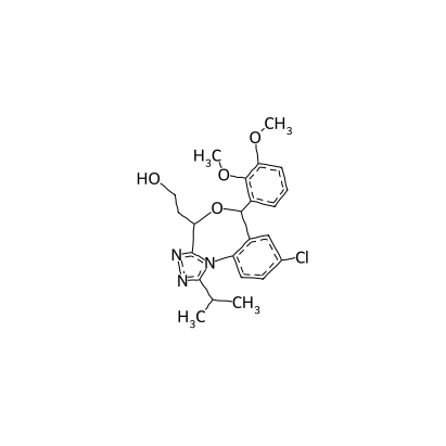 COc1cccc(C2OC(CCO)c3nnc(C(C)C)n3-c3ccc(Cl)cc32)c1OC